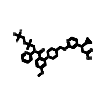 COc1ccc(C(=O)N(CC(C)(C)OCC(F)(F)F)c2ccccn2)c(N2CCC(COc3cc(C(CC(=O)O)C4CC4)ccn3)CC2)c1